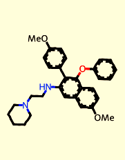 COc1ccc(-c2c(NCCN3CCCCC3)cc3cc(OC)ccc3c2Oc2ccccc2)cc1